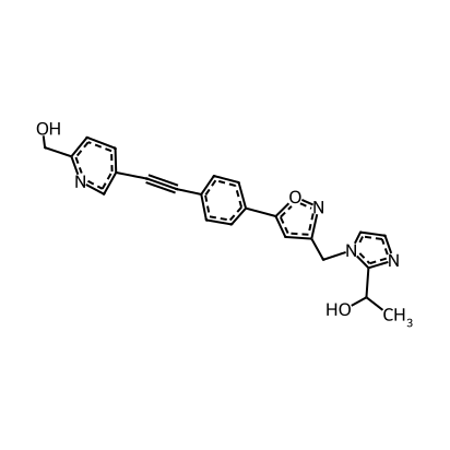 CC(O)c1nccn1Cc1cc(-c2ccc(C#Cc3ccc(CO)nc3)cc2)on1